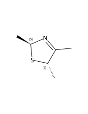 CC1=N[C@H](C)S[C@H]1C